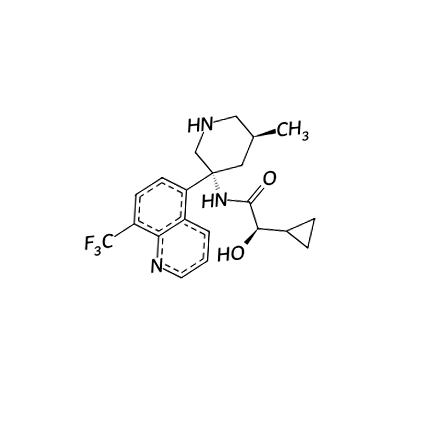 C[C@@H]1CNC[C@](NC(=O)[C@H](O)C2CC2)(c2ccc(C(F)(F)F)c3ncccc23)C1